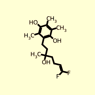 Cc1c(C)c(O)c(CCC(C)(O)CCC=C(F)F)c(C)c1O